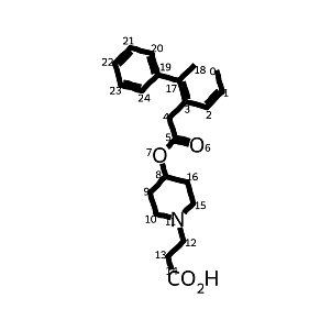 C/C=C\C(CC(=O)OC1CCN(CCC(=O)O)CC1)=C(/C)c1ccccc1